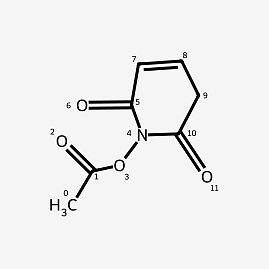 CC(=O)ON1C(=O)C=CCC1=O